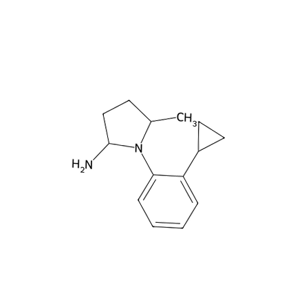 CC1CCC(N)N1c1ccccc1C1CC1